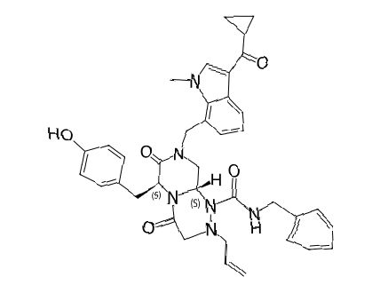 C=CCN1CC(=O)N2[C@@H](Cc3ccc(O)cc3)C(=O)N(Cc3cccc4c(C(=O)C5CC5)cn(C)c34)C[C@@H]2N1C(=O)NCc1ccccc1